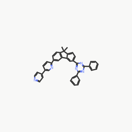 CC1(C)c2ccc(-c3ccc(-c4ccncc4)cn3)cc2-c2cc(-c3nc(-c4ccccc4)nc(-c4ccccc4)n3)ccc21